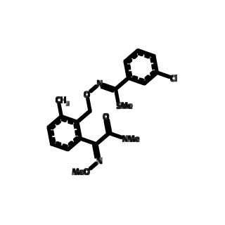 CNC(=O)/C(=N/OC)c1cccc(C)c1CO/N=C(\SC)c1cccc(Cl)c1